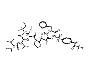 CC[C@H](C)[C@@H]([C@@H](CC(=O)N1CCCC1[C@H](OC)[C@@H](C)C(=O)N[C@@H](Cc1ccccc1)C(=O)NS(=O)(=O)c1ccc(NC(=O)C(F)(F)F)cc1)OC)N(C)C(=O)[C@@H](NC(=O)[C@H](C(C)C)N(C)C)C(C)C